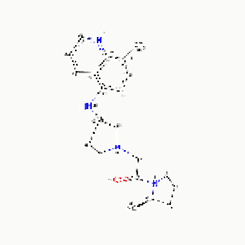 N#C[C@@H]1CCCN1C(=O)CN1CC[C@H](Nc2ccc(C(F)(F)F)c3ncccc23)C1